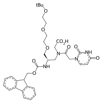 CC(C)(C)OCCOCCOC[C@@H](CN(CC(=O)O)C(=O)Cn1ccc(=O)[nH]c1=O)NC(=O)OCC1c2ccccc2-c2ccccc21